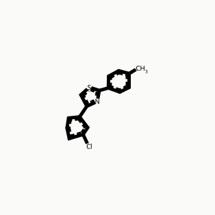 Cc1ccc(-c2nc(-c3cccc(Cl)c3)cs2)cc1